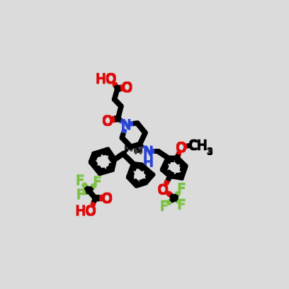 COc1ccc(OC(F)(F)F)cc1CN[C@H]1CCN(C(=O)CCC(=O)O)C[C@H]1C(c1ccccc1)c1ccccc1.O=C(O)C(F)(F)F